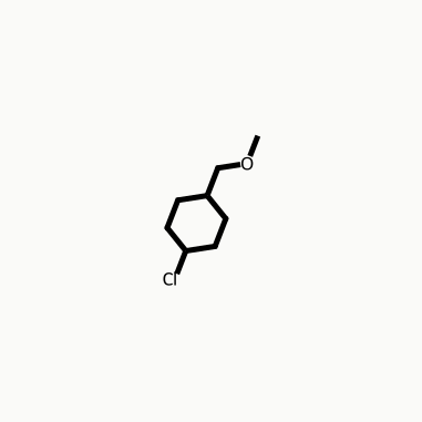 COCC1CCC(Cl)CC1